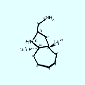 NCC1C[C@@H]2CCCCC[C@H]2N1